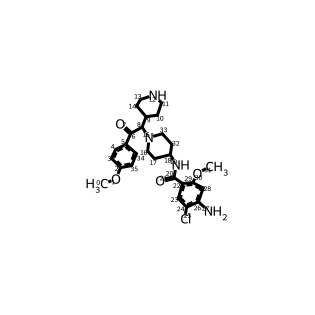 COc1ccc(C(=O)C(C2CCNCC2)N2CCC(NC(=O)c3cc(Cl)c(N)cc3OC)CC2)cc1